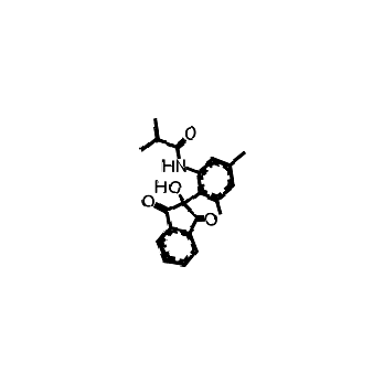 Cc1cc(C)c(C2(O)C(=O)c3ccccc3C2=O)c(NC(=O)C(C)C)c1